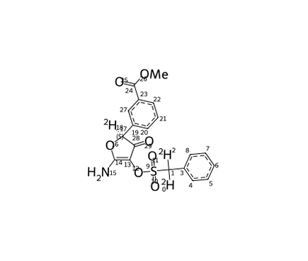 [2H]C([2H])(c1ccccc1)S(=O)(=O)OC1=C(N)O[C@@]([2H])(c2cccc(C(=O)OC)c2)C1=O